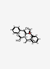 COCc1noc(-c2ccccc2)c1N(C(=O)O)C(C)c1ccccc1Cl